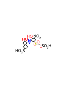 O=[N+]([O-])c1cc(S(=O)(=O)CCOS(=O)(=O)O)cc(/N=N/c2c(O)ccc3cc(S(=O)(=O)O)ccc23)c1O